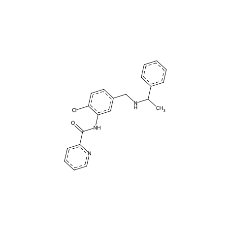 CC(NCc1ccc(Cl)c(NC(=O)c2ccccn2)c1)c1ccccc1